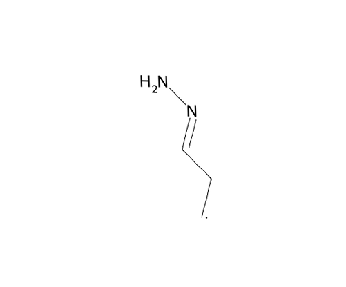 [CH2]C/C=N/N